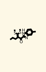 CCCC(C(=O)c1nc2cc(C)ccc2[nH]1)=C(SC)SC